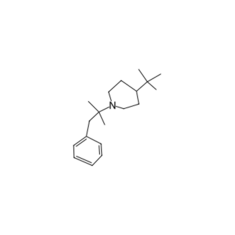 CC(C)(C)C1CCN(C(C)(C)Cc2ccccc2)CC1